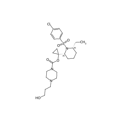 CC[C@@H]1CCC[C@H](C2(OC(=O)N3CCN(CCCO)CC3)CC2)N1S(=O)(=O)c1ccc(Cl)cc1